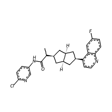 CC(C(=O)Nc1ccc(Cl)nc1)[C@H]1C[C@H]2C[C@@H](c3ccnc4ccc(F)cc34)C[C@H]2C1